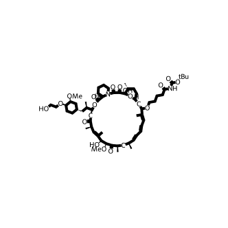 CO[C@@H]1C[C@H](C[C@@H](C)[C@@H]2CC(=O)[C@H](C)/C=C(\C)[C@@H](O)[C@@H](OC)C(=O)[C@H](C)C[C@H](C)/C=C/C=C/C=C(\C)C(OCCCCC(=O)NC(=O)OC(C)(C)C)C[C@@H]3CC[C@@H](C)[C@@](O)(O3)C(=O)C(=O)N3CCCC[C@H]3C(=O)O2)CC[C@H]1OCCO